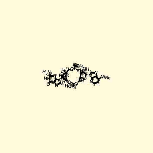 CNc1ccnc2c1ncn2[C@@H]1O[C@@H]2COP(=O)(O)O[C@@H]3[C@H](O)[C@@H](COP(=O)(O)O[C@H]2[C@H]1O)O[C@H]3n1cnc2c(=O)[nH]c(N)nc21